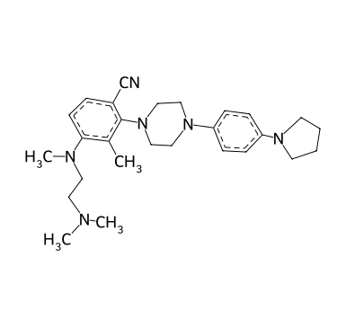 Cc1c(N(C)CCN(C)C)ccc(C#N)c1N1CCN(c2ccc(N3CCCC3)cc2)CC1